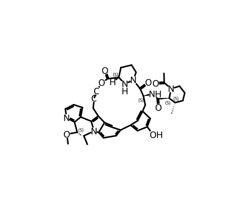 CCn1c(-c2cccnc2[C@H](C)OC)c2c3cc(ccc31)-c1cc(O)cc(c1)C[C@H](NC(=O)[C@@H]1[C@@H](C)CCCN1C(C)=O)C(=O)N1CCC[C@H](N1)C(=O)OCCC2